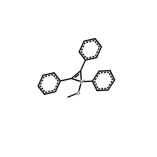 CO[N+]1(c2ccccc2)C(c2ccccc2)=C1c1ccccc1